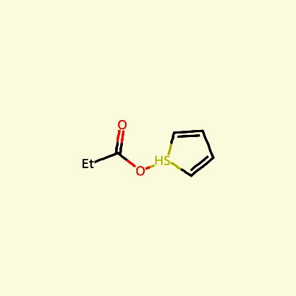 CCC(=O)O[SH]1C=CC=C1